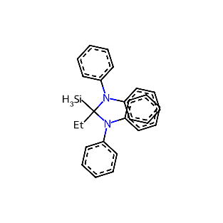 CCC([SiH3])(N(c1ccccc1)c1ccccc1)N(c1ccccc1)c1ccccc1